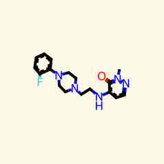 Cn1nccc(NCCN2CCN(c3ccccc3F)CC2)c1=O